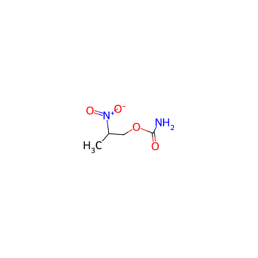 CC(COC(N)=O)[N+](=O)[O-]